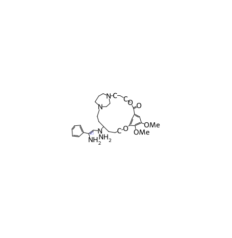 COc1cc2cc(c1OC)OCCCC(N(N)/C=C(\N)c1ccccc1)CCN1CCCN(CCCOC2=O)CC1